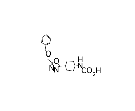 O=C(O)NC1CCC(c2nnc(COCc3ccccc3)o2)CC1